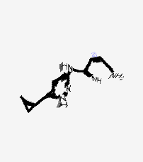 N=C(/C=C\N)Nc1cc(C2CC2)[nH]n1